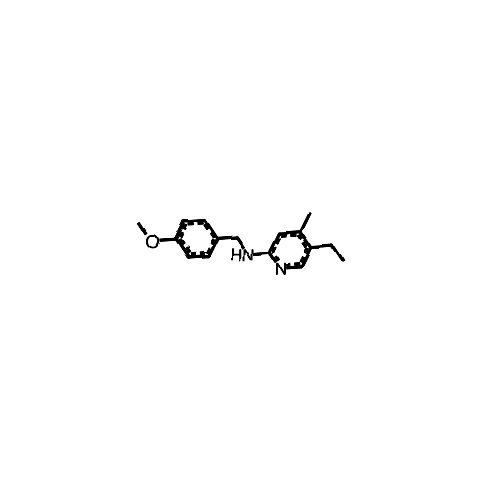 CCc1cnc(NCc2ccc(OC)cc2)cc1C